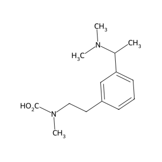 CC(c1cccc(CCN(C)C(=O)O)c1)N(C)C